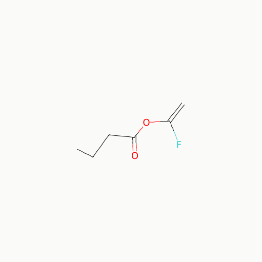 C=C(F)OC(=O)CCC